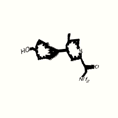 Cc1cnc(C(N)=O)cc1-c1ccc(O)cc1